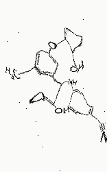 Cc1cc(OC2CCCC2O)cc(C(Nc2ccc(C#N)cc2)C(=O)O)c1